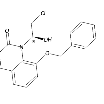 O=c1ccc2cccc(OCc3ccccc3)c2n1[C@H](O)CCl